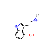 CCNCCc1c[nH]c2cccc(O)c12